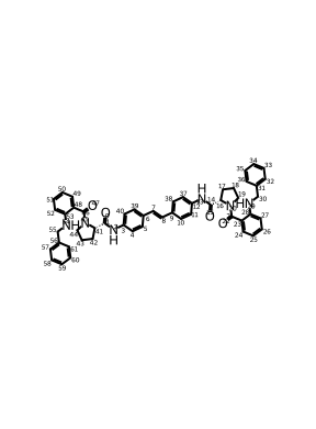 O=C(Nc1ccc(/C=C/c2ccc(NC(=O)[C@@H]3CCCN3C(=O)c3ccccc3NCc3ccccc3)cc2)cc1)[C@@H]1CCCN1C(=O)c1ccccc1NCc1ccccc1